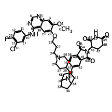 COc1cc2ncnc(Nc3ccc(F)c(Cl)c3)c2cc1OCCCN1CCC(CN2C3CCC2CN(c2ccc4c(c2)C(=O)N(C2CCC(=O)NC2=O)C4=O)C3)CC1